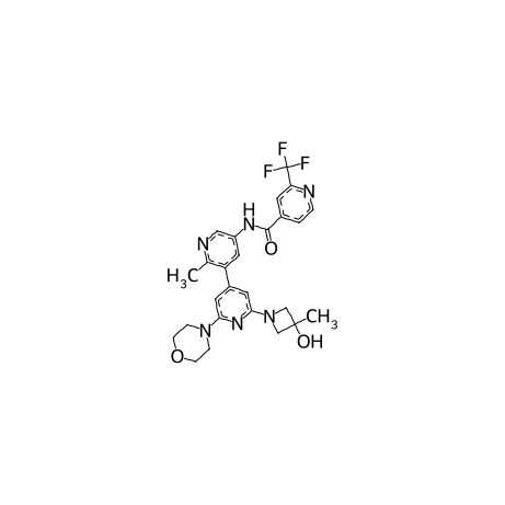 Cc1ncc(NC(=O)c2ccnc(C(F)(F)F)c2)cc1-c1cc(N2CCOCC2)nc(N2CC(C)(O)C2)c1